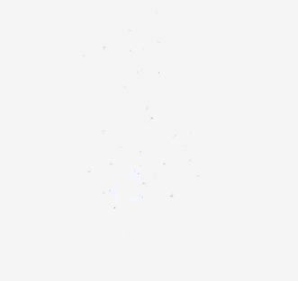 CC1(C)c2cc(-c3ccc4c(c3)-c3ccccc3C4c3ccccc3)ccc2-c2c(-c3nc(-c4ccccc4)nc(-c4ccccc4)n3)cccc21